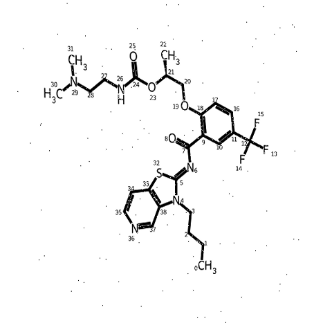 CCCCn1/c(=N/C(=O)c2cc(C(F)(F)F)ccc2OC[C@H](C)OC(=O)NCCN(C)C)sc2ccncc21